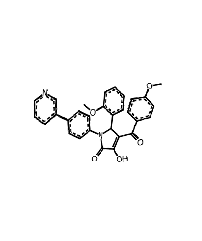 COc1ccc(C(=O)C2=C(O)C(=O)N(c3ccc(-c4cccnc4)cc3)C2c2ccccc2OC)cc1